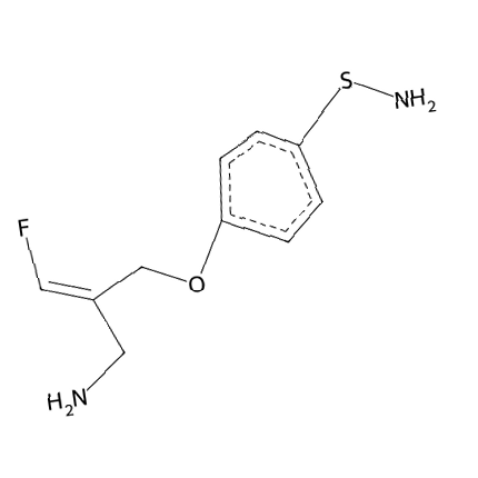 NC/C(=C/F)COc1ccc(SN)cc1